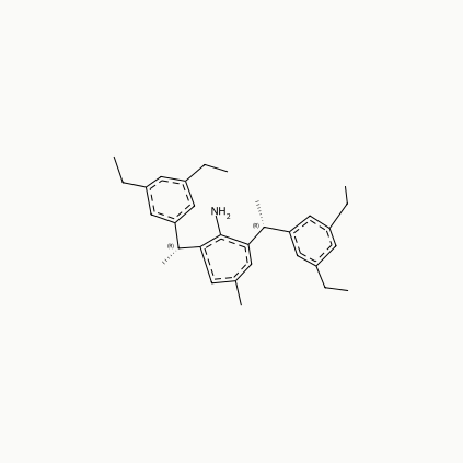 CCc1cc(CC)cc([C@@H](C)c2cc(C)cc([C@H](C)c3cc(CC)cc(CC)c3)c2N)c1